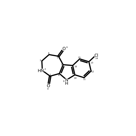 O=C1NCCC(=O)c2c1[nH]c1ccc(Cl)cc21